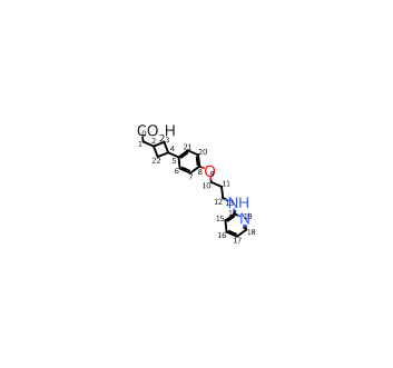 O=C(O)CC1CC(c2ccc(OCCCNc3ccccn3)cc2)C1